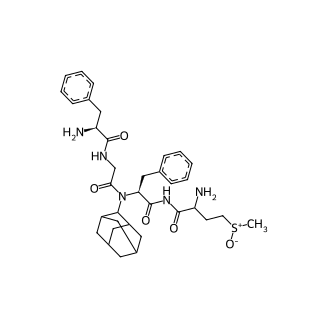 C[S+]([O-])CCC(N)C(=O)NC(=O)[C@H](Cc1ccccc1)N(C(=O)CNC(=O)[C@@H](N)Cc1ccccc1)C1C2CC3CC(C2)CC1C3